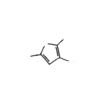 CCCCCCc1cc(CCCCCC)c(CCCCCC)o1